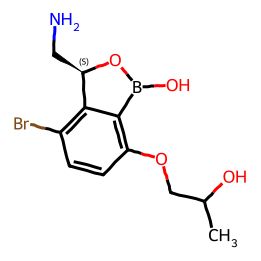 CC(O)COc1ccc(Br)c2c1B(O)O[C@@H]2CN